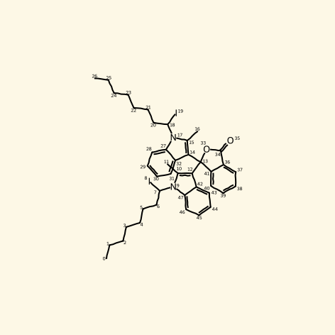 CCCCCCCC(I)n1c(C)c(C2(c3c(C)n(C(I)CCCCCCC)c4ccccc34)OC(=O)c3ccccc32)c2ccccc21